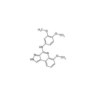 COc1ccc(Nc2nc3c(OC)cccc3c3c[nH]nc23)cc1OC